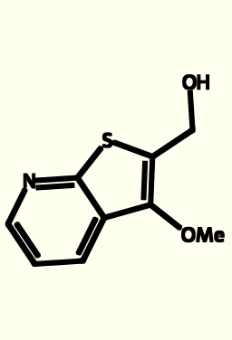 COc1c(CO)sc2ncccc12